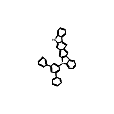 c1ccc(-c2cc(-c3ccccc3)cc(-n3c4ccccc4c4cc5cc6c(cc5cc43)[nH]c3ccccc36)c2)cc1